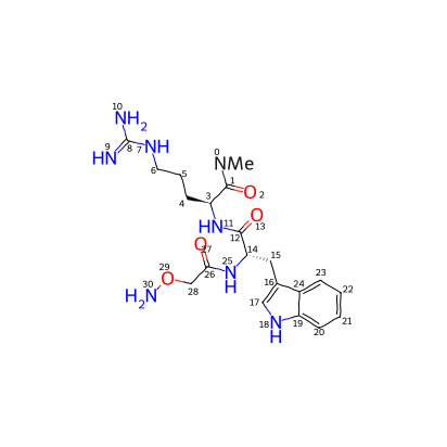 CNC(=O)[C@H](CCCNC(=N)N)NC(=O)[C@H](Cc1c[nH]c2ccccc12)NC(=O)CON